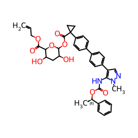 C=CCOC(=O)C1OC(OC(=O)C2(c3ccc(-c4ccc(-c5cnn(C)c5NC(=O)O[C@H](C)c5ccccc5)cc4)cc3)CC2)C(O)CC1O